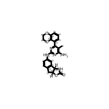 Cc1c(N)nc(Nc2ccc3c(c2)[C@@H]2NC(=O)O[C@@H]2C3)nc1-c1cccc2c1OCCO2